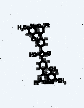 CCC(CN(c1ccc(C2=C(O)C(=C3C=CC(=[N+](CC(CC)OC)c4ccc(C)cc4C)C=C3)C2=O)cc1)c1ccc(C)cc1C)OC